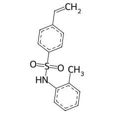 C=Cc1ccc(S(=O)(=O)Nc2ccccc2C)cc1